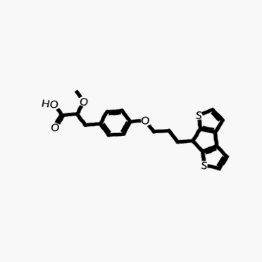 COC(Cc1ccc(OCCCC2c3sccc3-c3ccsc32)cc1)C(=O)O